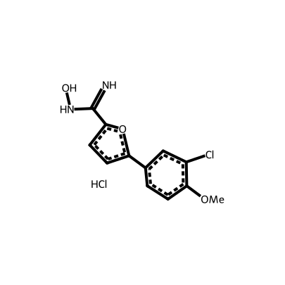 COc1ccc(-c2ccc(C(=N)NO)o2)cc1Cl.Cl